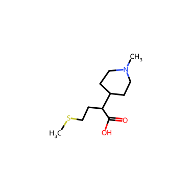 CSCCC(C(=O)O)C1CCN(C)CC1